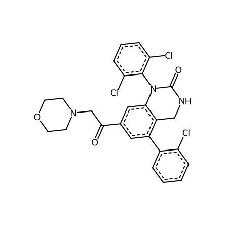 O=C(CN1CCOCC1)c1cc(-c2ccccc2Cl)c2c(c1)N(c1c(Cl)cccc1Cl)C(=O)NC2